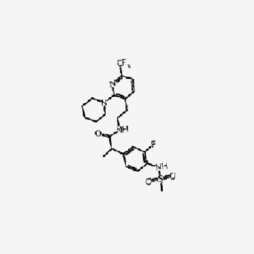 CC(C(=O)NCCc1ccc(C(F)(F)F)nc1N1CCCCC1)c1ccc(NS(C)(=O)=O)c(F)c1